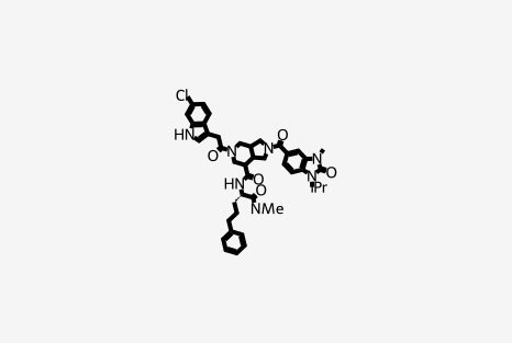 CNC(=O)[C@H](CCCc1ccccc1)NC(=O)C1CN(C(=O)Cc2c[nH]c3cc(Cl)ccc23)CC2CN(C(=O)c3ccc4c(c3)n(C)c(=O)n4C(C)C)CC21